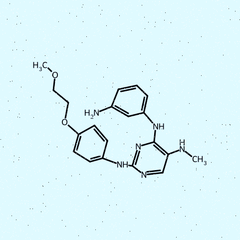 CNc1cnc(Nc2ccc(OCCOC)cc2)nc1Nc1cccc(N)c1